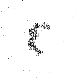 COC1CCN(CCn2cc(-c3cnc4ccc(Oc5ccc6nc(C)n(COCC[Si](C)(C)C)c6c5)c(Cl)c4n3)cn2)C1